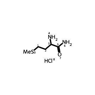 CSCCC(N)C(N)=O.Cl